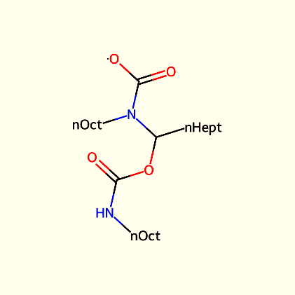 CCCCCCCCNC(=O)OC(CCCCCCC)N(CCCCCCCC)C([O])=O